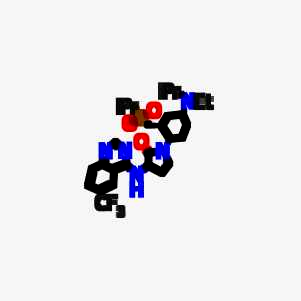 CCN(C(C)C)[C@@H]1CC[C@H](N2CCC(Nc3ncnc4ccc(C(F)(F)F)cc34)C2=O)[C@H](CS(=O)(=O)C(C)C)C1